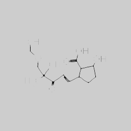 CCOCC(C)(C)C(=O)C=CC1CCC(O)C1C(=O)O